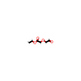 CCOC(=O)COC[C]=O